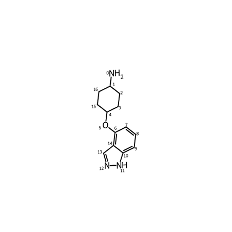 NC1CCC(Oc2cccc3[nH]ncc23)CC1